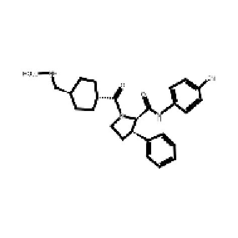 N#Cc1ccc(NC(=O)[C@H]2[C@@H](c3ccccc3)CCN2C(=O)[C@H]2CC[C@H](CNC(=O)O)CC2)cc1